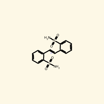 NS(=O)(=O)c1ccccc1/C=C/c1ccccc1S(N)(=O)=O